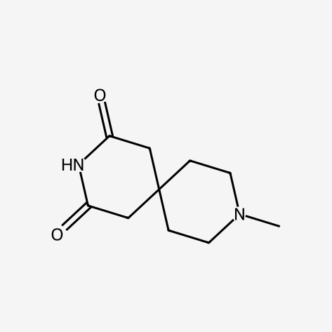 CN1CCC2(CC1)CC(=O)NC(=O)C2